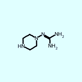 NC(N)=NN1CCNCC1